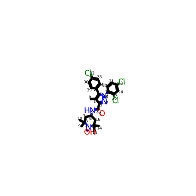 Cc1c(C(=O)NC2CC(C)(C)N(O)C(C)(C)C2)nn(-c2ccc(Cl)cc2Cl)c1-c1ccc(Cl)cc1